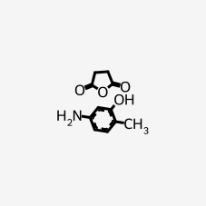 Cc1ccc(N)cc1O.O=C1CCC(=O)O1